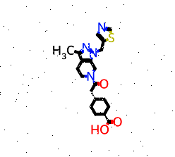 Cc1nn(Cc2cncs2)c2c1CCN(C(=O)C[C@H]1CC[C@H](C(=O)O)CC1)C2